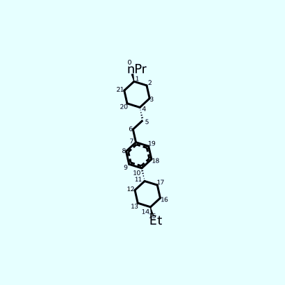 CCC[C@H]1CC[C@H](CCc2ccc([C@H]3CC[C@H](CC)CC3)cc2)CC1